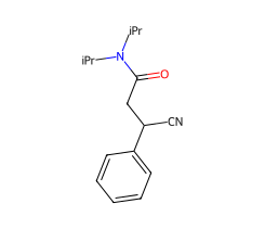 CC(C)N(C(=O)CC(C#N)c1ccccc1)C(C)C